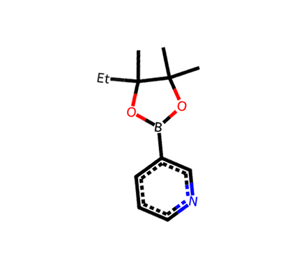 CCC1(C)OB(c2cccnc2)OC1(C)C